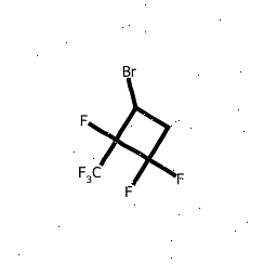 FC(F)(F)C1(F)C(Br)CC1(F)F